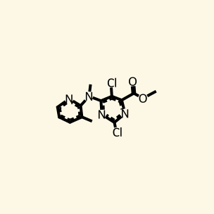 COC(=O)c1nc(Cl)nc(N(C)c2ncccc2C)c1Cl